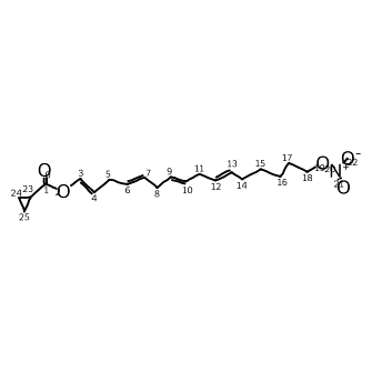 O=C(OC=CCC=CCC=CCC=CCCCCCO[N+](=O)[O-])C1CC1